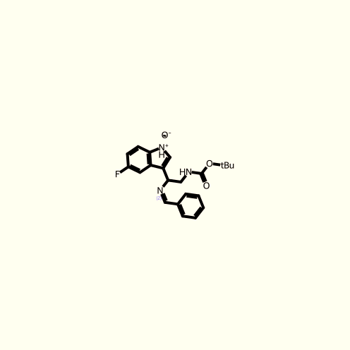 CC(C)(C)OC(=O)NCC(/N=C\c1ccccc1)C1=C[NH+]([O-])c2ccc(F)cc21